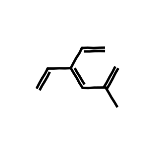 C=CC(C=C)=CC(=C)C